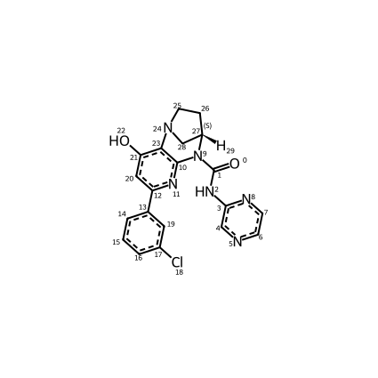 O=C(Nc1cnccn1)N1c2nc(-c3cccc(Cl)c3)cc(O)c2N2CC[C@H]1C2